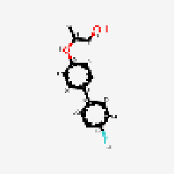 CC(CO)Oc1ccc(-c2ccc(F)cc2)cc1